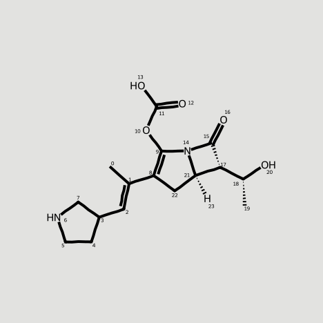 CC(=CC1CCNC1)C1=C(OC(=O)O)N2C(=O)[C@H]([C@@H](C)O)[C@H]2C1